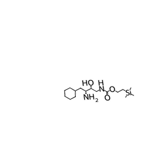 C[Si](C)(C)CCOC(=O)NC[C@H](O)[C@@H](N)CC1CCCCC1